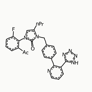 CCCc1cn(-c2c(F)cccc2C(C)=O)c(=O)n1Cc1ccc(-c2ncccc2-c2nnn[nH]2)cc1